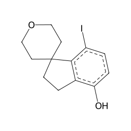 Oc1ccc(I)c2c1CCC21CCOCC1